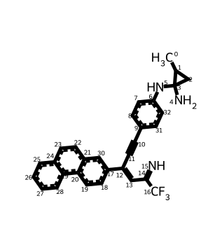 CC1CC1(N)Nc1ccc(C#C/C(=C\C(=N)C(F)(F)F)c2ccc3c(ccc4ccccc43)c2)cc1